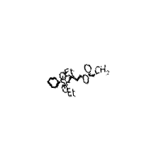 C=CC(=O)OCCCC[Si](OCC)(OCC)c1ccccc1